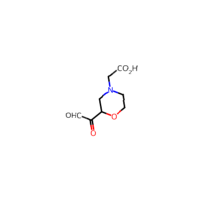 O=CC(=O)C1CN(CC(=O)O)CCO1